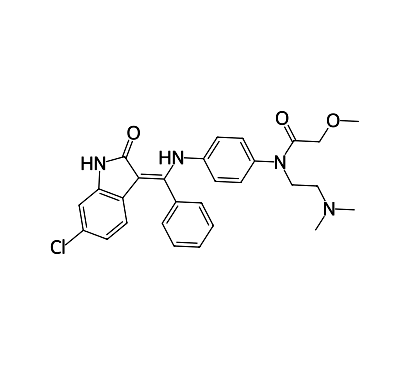 COCC(=O)N(CCN(C)C)c1ccc(N/C(=C2\C(=O)Nc3cc(Cl)ccc32)c2ccccc2)cc1